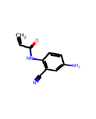 C=CC(=O)Nc1ccc(N)cc1C#N